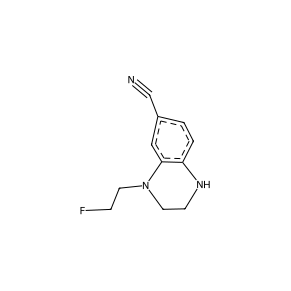 N#Cc1ccc2c(c1)N(CCF)CCN2